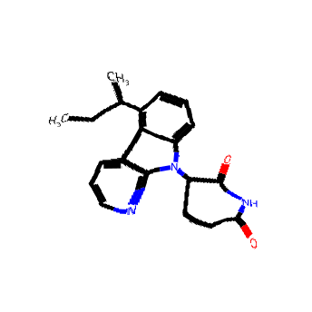 CCC(C)c1cccc2c1c1cccnc1n2C1CCC(=O)NC1=O